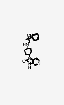 CC(O)(CN[C@H]1CC[C@H](n2c(=O)[nH]c3cnccc32)CC1)c1ccccc1